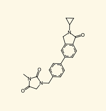 CN1C(=O)CN(Cc2ccc(-c3ccc4c(c3)CN(C3CC3)C4=O)cc2)C1=O